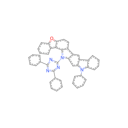 c1ccc(-c2nc(-c3ccccc3)nc(-n3c4cc5c(cc4c4ccc6oc7ccccc7c6c43)c3ccccc3n5-c3ccccc3)n2)cc1